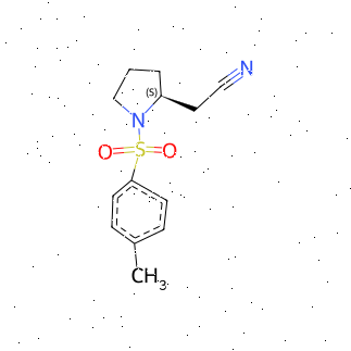 Cc1ccc(S(=O)(=O)N2CCC[C@H]2CC#N)cc1